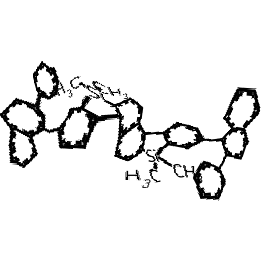 C[Si]1(C)c2cc(-c3c(-c4ccccc4)ccc4ccccc34)ccc2-c2c1ccc1c3c(ccc21)[Si](C)(C)c1cc(-c2c(-c4ccccc4)ccc4ccccc24)ccc1-3